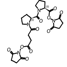 O=C(CCC(=O)N1CCC[C@H]1C(=O)N1CCC[C@H]1C(=O)ON1C(=O)CCC1=O)ON1C(=O)CCC1=O